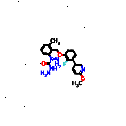 COc1ccc(-c2cccc(OCc3c(C)cccc3N(N)C(=O)NN)c2F)cn1